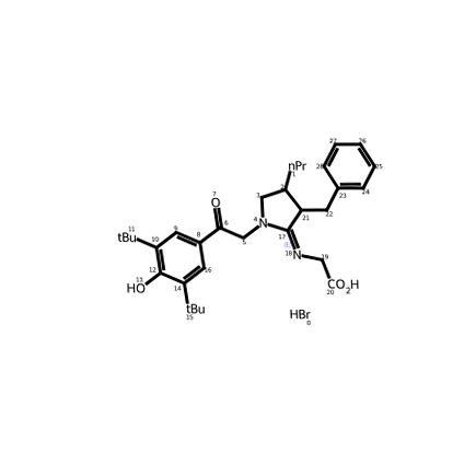 Br.CCCC1CN(CC(=O)c2cc(C(C)(C)C)c(O)c(C(C)(C)C)c2)/C(=N/CC(=O)O)C1Cc1ccccc1